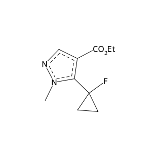 CCOC(=O)c1cnn(C)c1C1(F)CC1